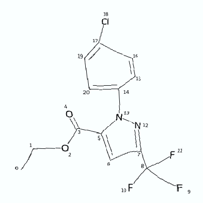 CCOC(=O)c1cc(C(F)(F)F)nn1-c1ccc(Cl)cc1